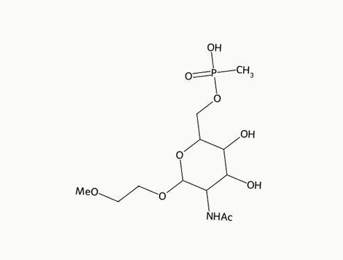 COCCOC1OC(COP(C)(=O)O)C(O)C(O)C1NC(C)=O